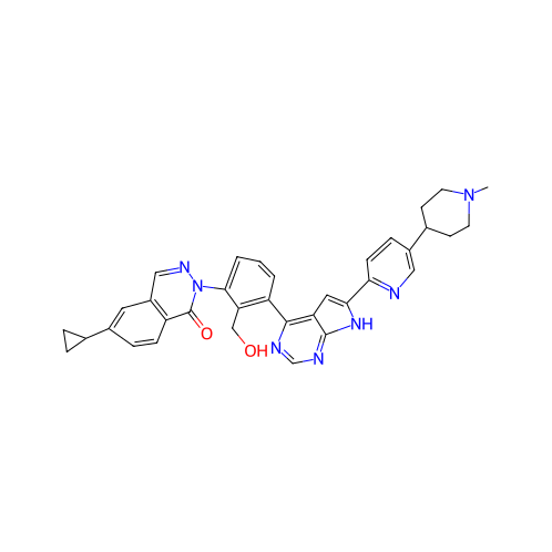 CN1CCC(c2ccc(-c3cc4c(-c5cccc(-n6ncc7cc(C8CC8)ccc7c6=O)c5CO)ncnc4[nH]3)nc2)CC1